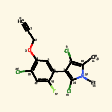 C#CCOc1cc(-c2c(Cl)c(C(F)(F)F)n(CC)c2Cl)c(F)cc1Cl